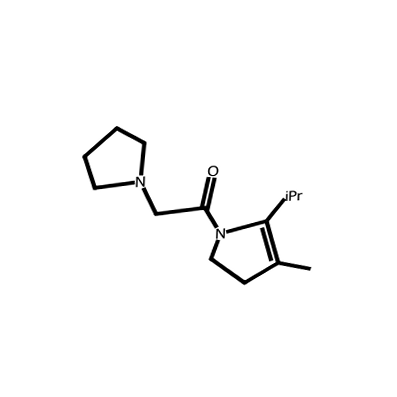 CC1=C(C(C)C)N(C(=O)CN2CCCC2)CC1